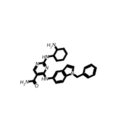 NC(=O)c1cnc(NC2CCCCC2N)nc1Nc1ccc2c(ccn2Cc2ccccc2)c1